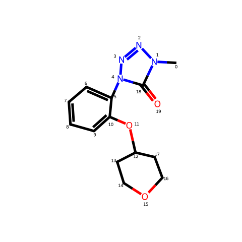 Cn1nnn(-c2ccccc2OC2CCOCC2)c1=O